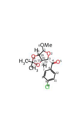 COC1O[C@H](C(=O)c2ccc(Cl)cc2)[C@H]2OC(C)(C)O[C@@H]12